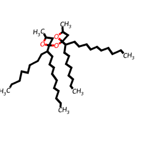 CCCCCCCCCCC(CCCCCCCC)C1(OC2(C(CCCCCCCC)CCCCCCCCCC)CC(C)O2)CC(C)O1